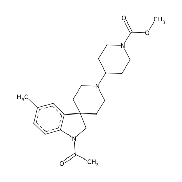 COC(=O)N1CCC(N2CCC3(CC2)CN(C(C)=O)c2ccc(C)cc23)CC1